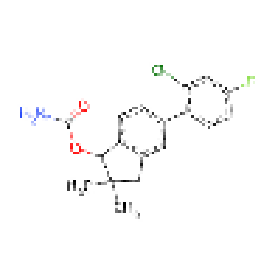 CC1(C)Cc2cc(-c3ccc(F)cc3Cl)ccc2C1OC(N)=O